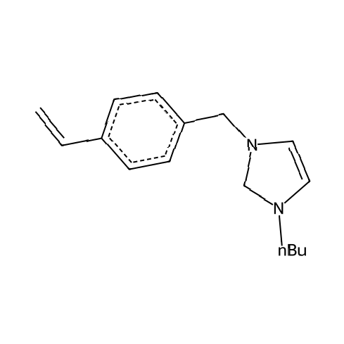 C=Cc1ccc(CN2C=CN(CCCC)C2)cc1